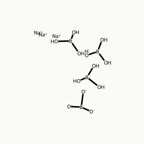 OB(O)O.OB(O)O.OB(O)O.[Na+].[Na+].[Na+].[O-]B([O-])[O-]